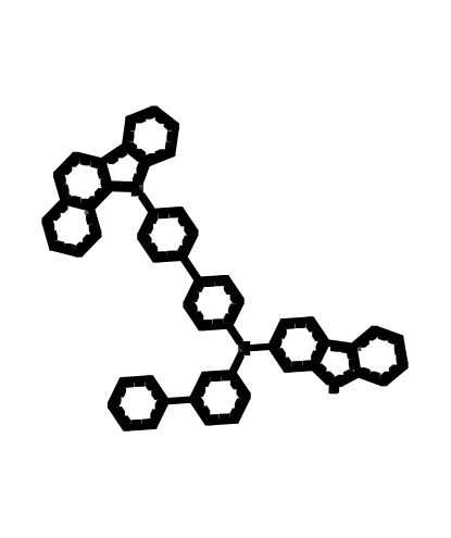 c1ccc(-c2cccc(N(c3ccc(-c4ccc(-n5c6ccccc6c6ccc7ccccc7c65)cc4)cc3)c3ccc4c(c3)sc3ccccc34)c2)cc1